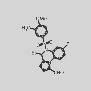 CCC1c2ccc(C=O)n2-c2ccc(F)cc2N1S(=O)(=O)c1ccc(OC)c(C)c1